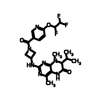 Cc1nc(NC2CN(C(=O)c3ccc(OC(F)C(F)F)nc3)C2)nc2c1NC(=O)C(C(C)C)N2C